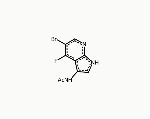 CC(=O)Nc1c[nH]c2ncc(Br)c(F)c12